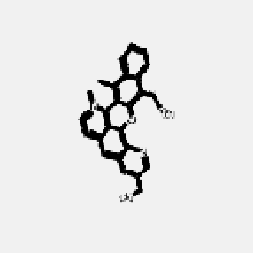 Cc1c2c(c(CC(C)(C)C)c3ccccc13)Oc1c3ncc(CC(C)(C)C)cc3cc3cc[n+](C)c-2c13